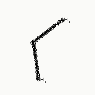 COCCOCCOCCOCCOCCOCCOCCOCCOCCOCCOCCO[PH](=O)OCCOCCOCCOCCOCCOCCOCCOCCOCCOCCOCCOC